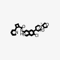 C[C@]1(N2CCC(c3cc4cc(NC(=O)C5CCC5c5ccccn5)ncc4cc3Cl)CC2)COC[C@H]1O